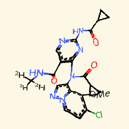 [2H]C([2H])([2H])NC(=O)c1cnc(NC(=O)C2CC2)nc1N(C(=O)C1CC1)c1cnn2ccc(Cl)c(OC)c12